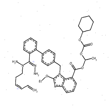 C=C/C=C\CCN(N)/C(=N\N)c1ccccc1-c1ccc(Cn2c(OCC)nc3cccc(C(=O)OC(C)OC(=O)OC4CCCCC4)c32)cc1